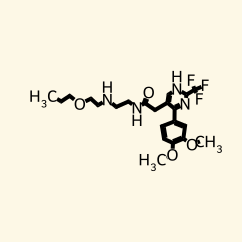 CCCOCCNCCNC(=O)CC1=CNC(C(F)(F)F)N=C1c1ccc(OC)c(OC)c1